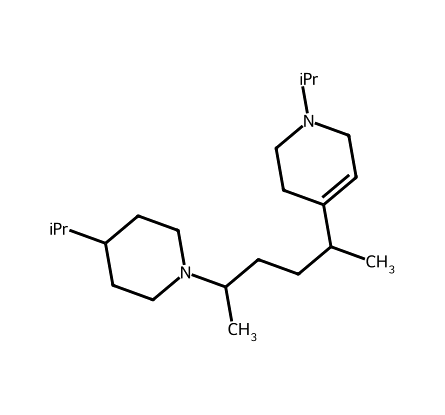 CC(CCC(C)N1CCC(C(C)C)CC1)C1=CCN(C(C)C)CC1